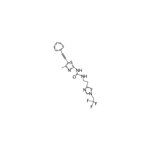 Cc1nc(NC(=O)NCCc2cn(CC(F)(F)F)cn2)sc1C#Cc1ccccc1